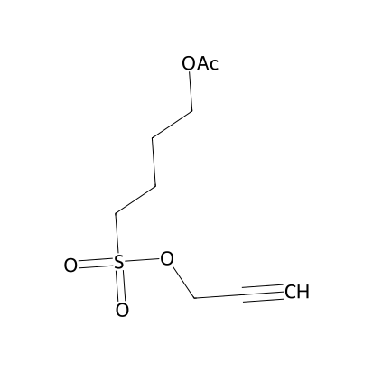 C#CCOS(=O)(=O)CCCCOC(C)=O